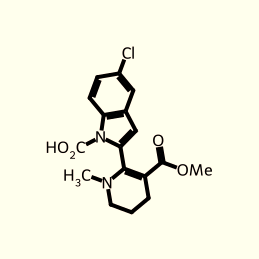 COC(=O)C1=C(c2cc3cc(Cl)ccc3n2C(=O)O)N(C)CCC1